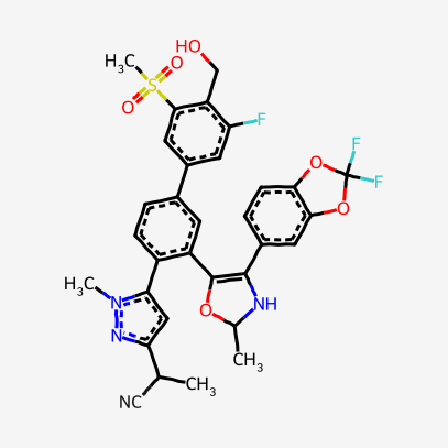 CC1NC(c2ccc3c(c2)OC(F)(F)O3)=C(c2cc(-c3cc(F)c(CO)c(S(C)(=O)=O)c3)ccc2-c2cc(C(C)C#N)nn2C)O1